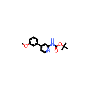 COc1cc[c]c(-c2ccnc(NC(=O)OC(C)(C)C)c2)c1